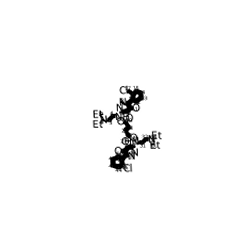 CCN(CC)CCNc1nnc2c(oc3cccc(Cl)c32)c1OC(=O)/C=C/C(=O)Oc1c(NCCN(CC)CC)nnc2c1oc1cccc(Cl)c12